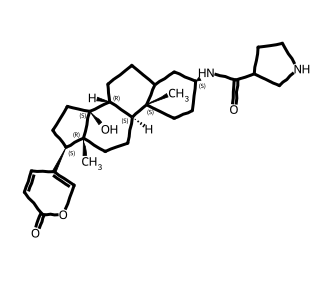 C[C@]12CC[C@H](NC(=O)C3CCNC3)CC1CC[C@@H]1[C@@H]2CC[C@]2(C)[C@@H](c3ccc(=O)oc3)CC[C@]12O